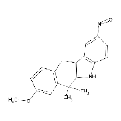 COc1ccc2c(c1)C(C)(C)c1[nH]c3ccc(N=O)cc3c1C2